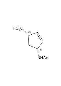 CC(=O)N[C@H]1C=C[C@@H](C(=O)O)C1